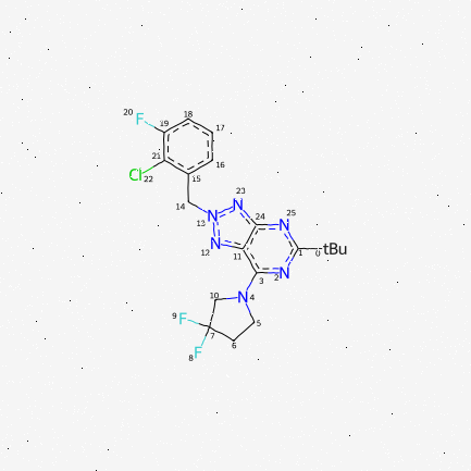 CC(C)(C)c1nc(N2CCC(F)(F)C2)c2nn(Cc3cccc(F)c3Cl)nc2n1